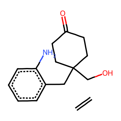 C=C.Nc1ccccc1CC1(CO)CCC(=O)CC1